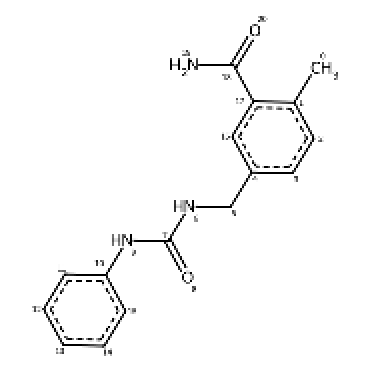 Cc1ccc(CNC(=O)Nc2ccccc2)cc1C(N)=O